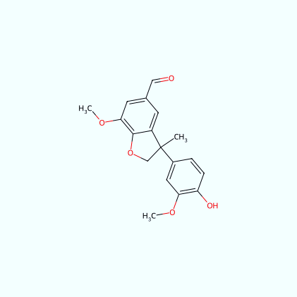 COc1cc(C2(C)COc3c(OC)cc(C=O)cc32)ccc1O